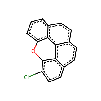 Clc1ccc2ccc3ccc4cccc5c4c3c2c1O5